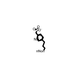 CCCCCCCCCCCCc1ccc(CS(=O)(=O)[O-])cc1.[Na+]